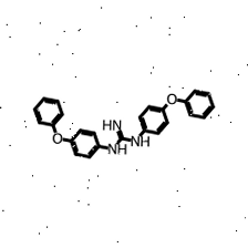 N=C(Nc1ccc(Oc2ccccc2)cc1)Nc1ccc(Oc2ccccc2)cc1